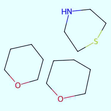 C1CCOCC1.C1CCOCC1.C1CSCCN1